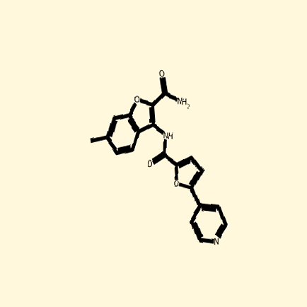 Cc1ccc2c(NC(=O)c3ccc(-c4ccncc4)o3)c(C(N)=O)oc2c1